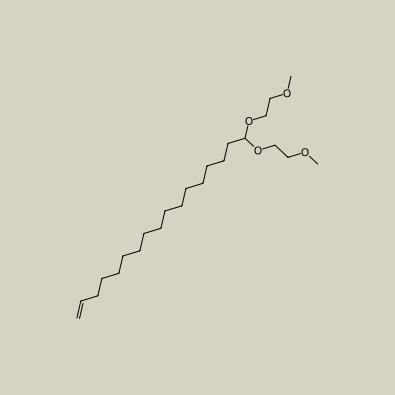 C=CCCCCCCCCCCCCCCC(OCCOC)OCCOC